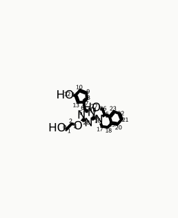 OCCOc1nc(-c2cccc(O)c2)nc(N2CCc3ccccc3C2CO)n1